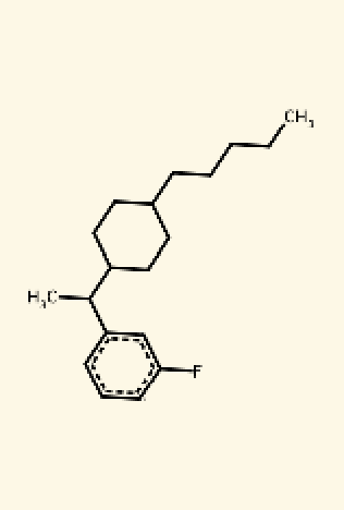 CCCCCC1CCC(C(C)c2cc[c]c(F)c2)CC1